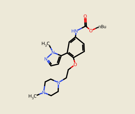 CCCCOC(=O)Nc1ccc(OCCN2CCN(C)CC2)c(-c2ccnn2C)c1